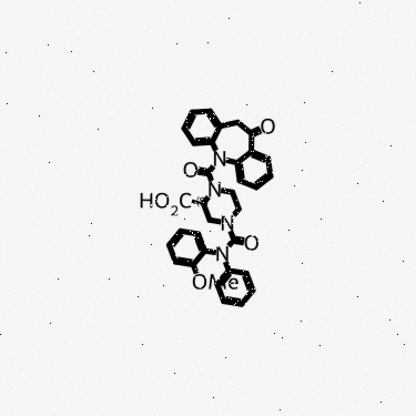 COc1ccccc1N(C(=O)N1CCN(C(=O)N2c3ccccc3CC(=O)c3ccccc32)[C@H](C(=O)O)C1)c1ccccc1